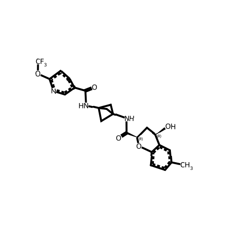 Cc1ccc2c(c1)[C@H](O)C[C@H](C(=O)NC13CC(NC(=O)c4ccc(OC(F)(F)F)nc4)(C1)C3)O2